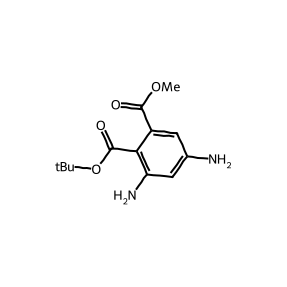 COC(=O)c1cc(N)cc(N)c1C(=O)OC(C)(C)C